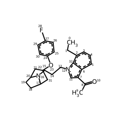 CCc1cccc2c(C(C)=O)cn(CCCN3C4CCC3CC(Oc3ccc(F)cc3)C4)c12